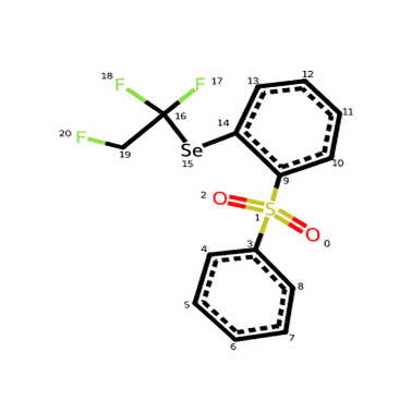 O=S(=O)(c1ccccc1)c1ccccc1[Se]C(F)(F)CF